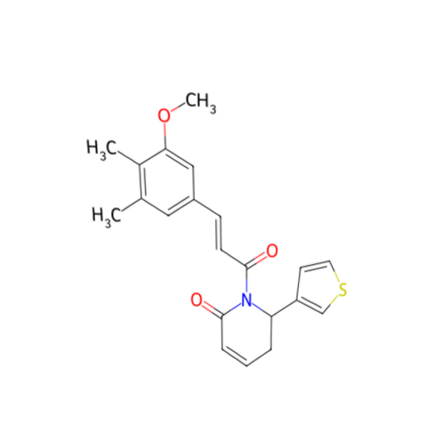 COc1cc(/C=C/C(=O)N2C(=O)C=CCC2c2ccsc2)cc(C)c1C